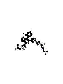 COc1cc(F)ccc1-c1c(-c2cnn(C3CN(C(=O)/C=C/CN(C)C)C3)c2)nc(-c2cnn(CC(F)F)c2)c2ccsc12